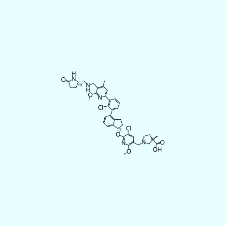 COc1nc(O[C@H]2CCc3c(-c4cccc(-c5cc(C)c(CNC[C@@H]6CCC(=O)N6)c(OC)n5)c4Cl)cccc32)c(Cl)cc1CN1CC[C@](C)(C(=O)O)C1